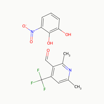 Cc1cc(C(F)(F)F)c(C=O)c(C)n1.O=[N+]([O-])c1cccc(O)c1O